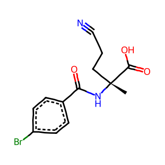 C[C@](CCC#N)(NC(=O)c1ccc(Br)cc1)C(=O)O